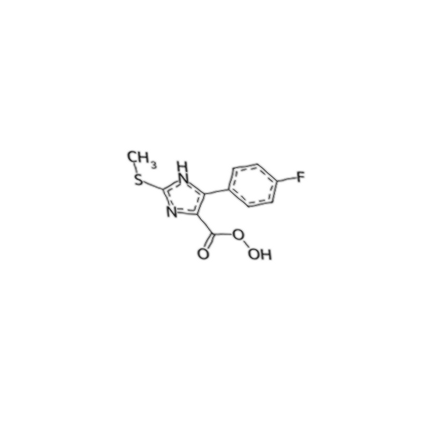 CSc1nc(C(=O)OO)c(-c2ccc(F)cc2)[nH]1